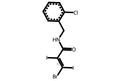 O=C(NCc1ccccc1Cl)/C(I)=C(/Br)I